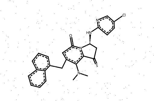 CN(C)c1c(Cc2cccc3ccccc23)cc(=O)n2c1C(=S)C[C@@H]2Nc1ccc(Cl)cn1